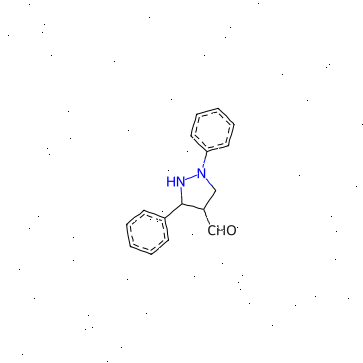 O=CC1CN(c2ccccc2)NC1c1ccccc1